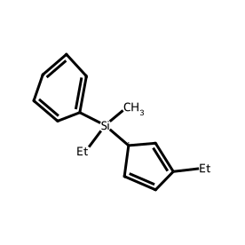 CCC1=C[C]([Si](C)(CC)c2ccccc2)C=C1